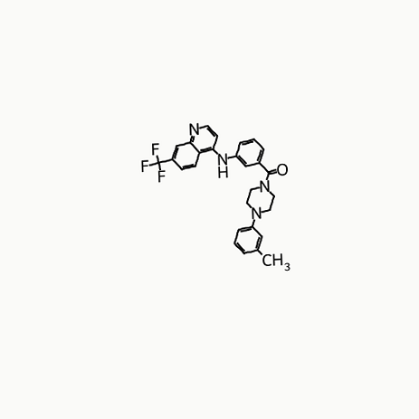 Cc1cccc(N2CCN(C(=O)c3cccc(Nc4ccnc5cc(C(F)(F)F)ccc45)c3)CC2)c1